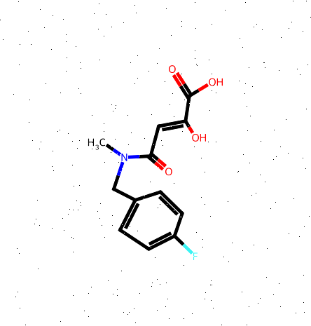 CN(Cc1ccc(F)cc1)C(=O)C=C(O)C(=O)O